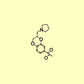 CS(=O)(=O)c1ccc2c(c1)OC(CN1CCCC1)CO2